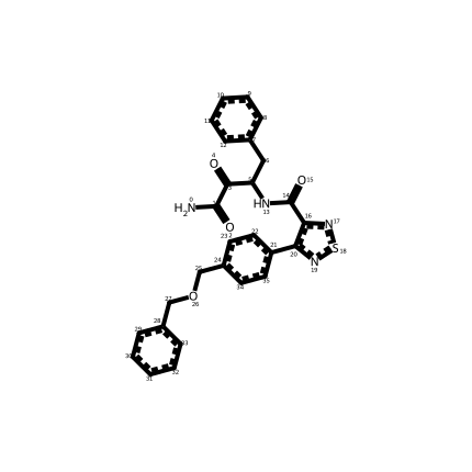 NC(=O)C(=O)C(Cc1ccccc1)NC(=O)c1nsnc1-c1ccc(COCc2ccccc2)cc1